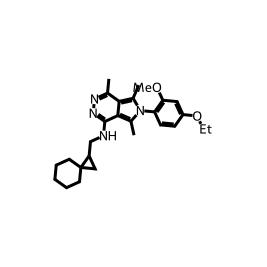 CCOc1ccc(-n2c(C)c3c(C)nnc(NCC4CC45CCCCC5)c3c2C)c(OC)c1